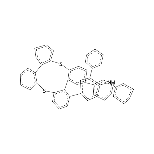 c1ccc(Nc2ccc(-c3cccc4c3-c3cc(-c5ccccc5)ccc3Sc3ccccc3-c3ccccc3S4)cc2-c2ccccc2)cc1